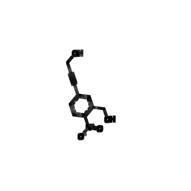 O=[N+]([O-])c1ccc(C#CCO)cc1CO